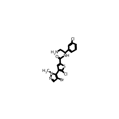 Cn1ncc(Br)c1-c1cc(C(=O)NC(CN)c2cccc(Cl)c2)sc1Cl